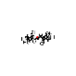 Cc1c[nH]c2c(O)cc3c(c12)[C@H](CCl)CN3C(=O)C12CC(C(=O)N3C[C@@H](CCl)c4c3cc(O)c3[nH]cc(C)c43)(C1)C2